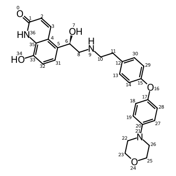 O=c1ccc2c([C@@H](O)CNCCc3ccc(Oc4ccc(N5CCOCC5)cc4)cc3)ccc(O)c2[nH]1